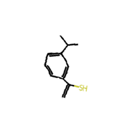 C=C(S)c1cccc(C(C)C)c1